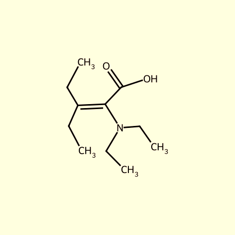 CCC(CC)=C(C(=O)O)N(CC)CC